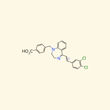 O=C(O)c1ccc(CN2CCN=C(/C=C/c3ccc(Cl)c(Cl)c3)c3ccccc32)cc1